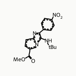 COC(=O)c1ccc2nc(-c3ccc([N+](=O)[O-])cc3)c(NC(C)(C)C)n2c1